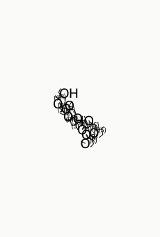 CC[C@@H](C(=O)[C@@H](C)[C@@H](O)[C@H](C)[C@@H]1O[C@@H]([C@@H](CC)C(=O)OC)CC[C@@H]1C)[C@H]1O[C@]2(C=C[C@@H](OC)[C@]3(CC[C@@](C)([C@H]4CC[C@](O)(CC)[C@H](C)O4)O3)O2)[C@H](C)C[C@@H]1C